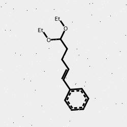 CCOC(CC/C=C/c1ccccc1)OCC